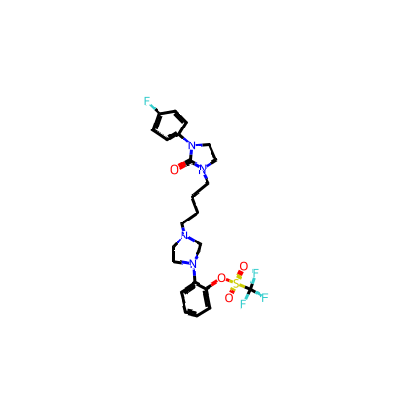 O=C1N(CCCCN2CCN(c3ccccc3OS(=O)(=O)C(F)(F)F)CC2)CCN1c1ccc(F)cc1